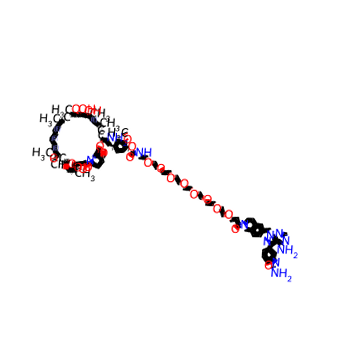 CO[C@H]1C[C@@H]2CC[C@@H](C)[C@@](O)(O2)C(=O)C(=O)N2CCCC[C@H]2C(=O)O[C@H]([C@H](N)C[C@@H]2CC[C@@H](OC(=O)NCCOCCOCCOCCOCCOCCOCCOCCOCCC(=O)N3CCc4cc(Cn5nc(-c6ccc7oc(N)nc7c6)c6c(N)ncnc65)ccc4C3)[C@H](OC)C2)CC[C@H](C)/C=C(\C)[C@@H](O)[C@@H](O)C(=O)[C@H](C)C[C@H](C)/C=C/C=C/C=C/1C